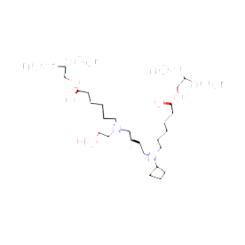 CCCCCCCCC(CCCCCCCC)COC(=O)CCCCCN(C/C=C/CN(CCCCCC(=O)OCC(CCCCCCCC)CCCCCCCC)C1CCC1)CCO